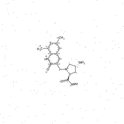 CNC(=O)[C@@H]1C[C@@H](N)CN1Cc1cc2cc(C)cc(C)c2[nH]c1=O